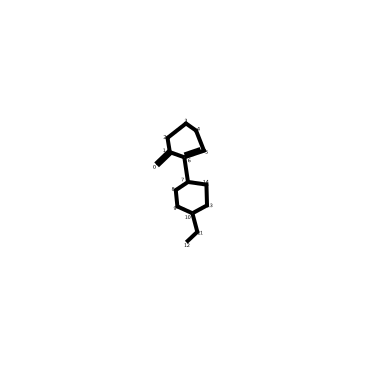 C=C1CCCC=C1C1CCC(CC)CC1